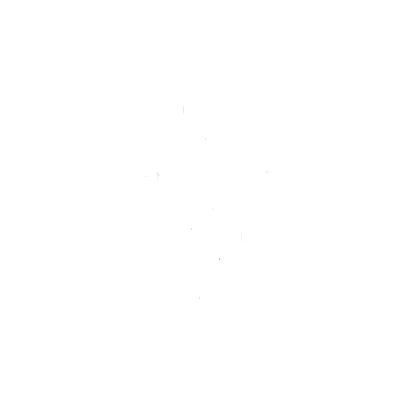 Cl.Nc1c(O)cccc1C1CCCCC1